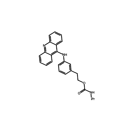 CC(C)NC(=O)OCCc1cccc(Nc2c3ccccc3nc3ccccc23)c1